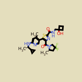 Cc1cc(N[C@@H](C)C2CC2)ncc1-c1sc(C(=O)NCC2(O)CCC2)nc1C(=O)N1CC(F)(F)C[C@@H]1C